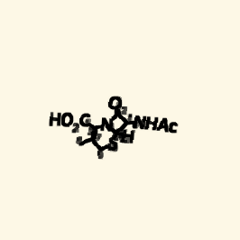 CC(=O)NC1C(=O)N2C(C(=O)O)=C(C)CS[C@@H]12